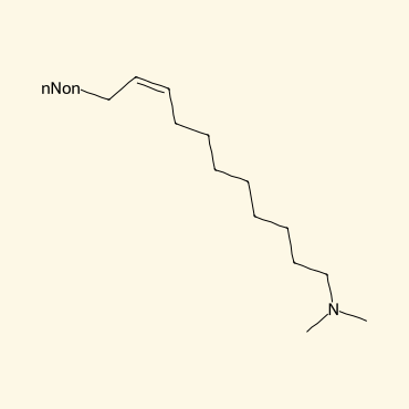 CCCCCCCCCC/C=C\CCCCCCCCN(C)C